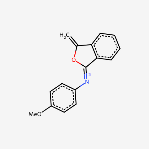 C=C1O/C(=N\c2ccc(OC)cc2)c2ccccc21